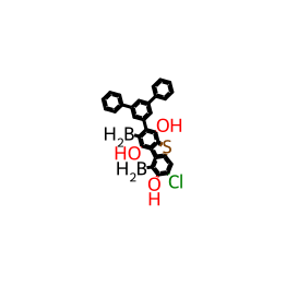 Bc1c(-c2cc(-c3ccccc3)cc(-c3ccccc3)c2)c(O)c2sc3cc(Cl)c(O)c(B)c3c2c1O